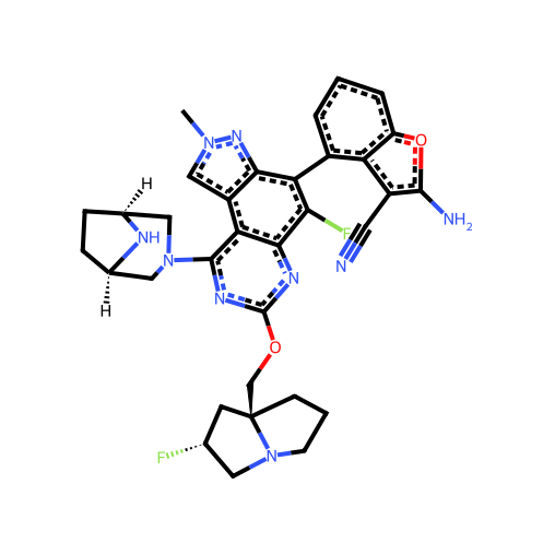 Cn1cc2c(n1)c(-c1cccc3oc(N)c(C#N)c13)c(F)c1nc(OC[C@@]34CCCN3C[C@H](F)C4)nc(N3C[C@H]4CC[C@@H](C3)N4)c12